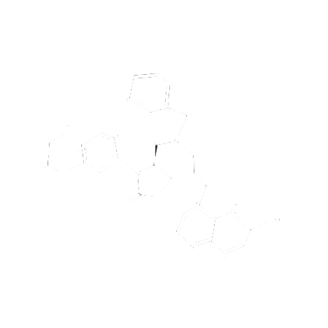 COc1ccc2nccc(CCCN(Cc3ccccc3)C[C@H]3COC(=O)N3c3ccc4c(c3)OCCO4)c2n1